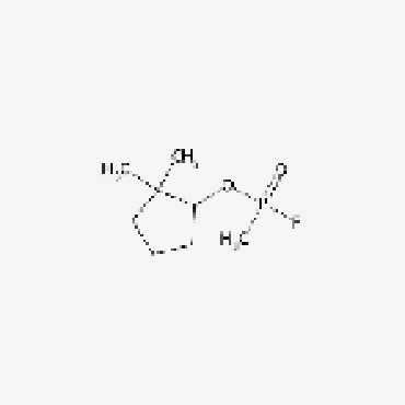 CC1(C)CCCC1OP(C)(=O)F